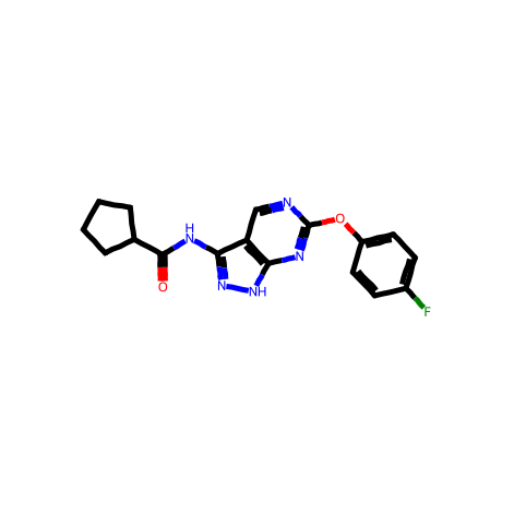 O=C(Nc1n[nH]c2nc(Oc3ccc(F)cc3)ncc12)C1CCCC1